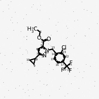 CCOC(=O)c1cc(C2CC2)nn1Cc1ccc(C(F)(F)F)cc1Cl